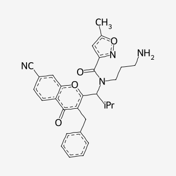 Cc1cc(C(=O)N(CCCN)C(c2oc3cc(C#N)ccc3c(=O)c2Cc2ccccc2)C(C)C)no1